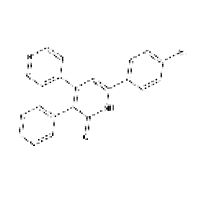 CCc1ccc(-c2cc(-c3ccncc3)c(-c3ccccc3)c(=O)[nH]2)cc1